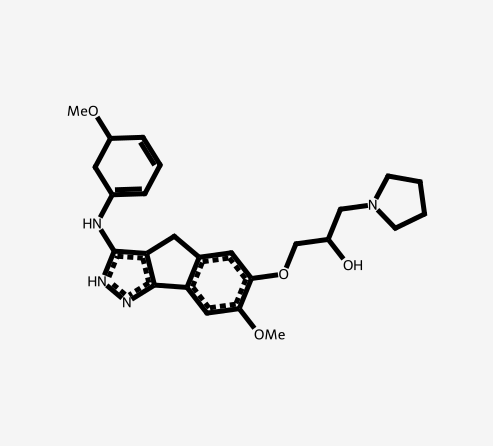 COc1cc2c(cc1OCC(O)CN1CCCC1)Cc1c-2n[nH]c1NC1=CC=CC(OC)C1